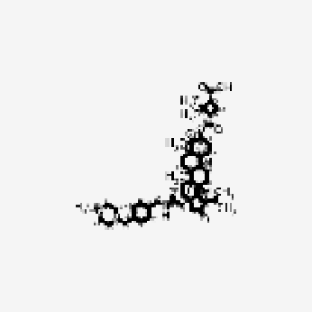 CC(C)C1=C2[C@H]3CC[C@@H]4[C@@]5(C)CC[C@H](OC(=O)[C@H]6C[C@@H](C(=O)O)C6(C)C)C(C)(C)[C@@H]5CC[C@@]4(C)[C@]3(C)CC[C@@]2(CC(=O)NCc2ccc(CN3CCN(C)CC3)cc2)CC1=O